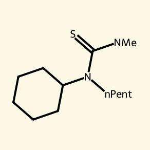 CCCCCN(C(=S)NC)C1CCCCC1